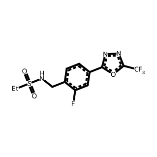 CCS(=O)(=O)NCc1ccc(-c2nnc(C(F)(F)F)o2)cc1F